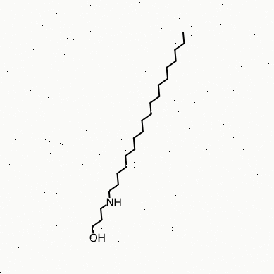 CCCCCCCCCCCCCCCCCCCNCCCO